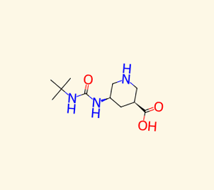 CC(C)(C)NC(=O)N[C@H]1CNC[C@@H](C(=O)O)C1